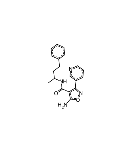 CC(CCc1ccccc1)NC(=O)c1c(-c2cccnc2)noc1N